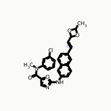 CC1OC(/C=C/c2ccc3cc(Nc4ncc(C(=O)N(C)c5cccc(Cl)c5)o4)ccc3c2)O1